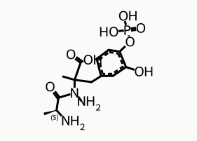 C[C@H](N)C(=O)N(N)C(C)(Cc1ccc(OP(=O)(O)O)c(O)c1)C(=O)O